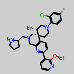 CCOc1ncccc1-c1ccc2c(n1)CN(C[C@H]1CCCN1)C[C@]21CCN(c2ccc(F)cc2Cl)C[C@H]1CC